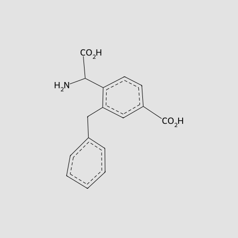 NC(C(=O)O)c1ccc(C(=O)O)cc1Cc1ccccc1